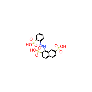 O=S(=O)(O)c1ccc2ccc(S(=O)(=O)O)c(/N=N/c3ccccc3S(=O)(=O)O)c2c1